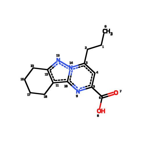 CCCc1cc(C(=O)O)nc2c3c(nn12)CCCC3